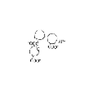 O=C([O-])C1CCCCCCC1.O=C([O-])C1CCCCCCC1.O=C([O-])C1CCCCCCC1.[Al+3]